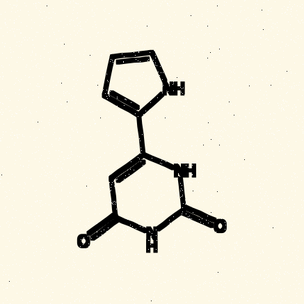 O=c1cc(-c2ccc[nH]2)[nH]c(=O)[nH]1